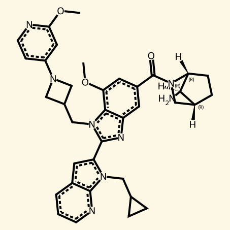 COc1cc(N2CC(Cn3c(-c4cc5cccnc5n4CC4CC4)nc4cc(C(=O)N5C[C@H]6CC[C@@H]5[C@@H]6N)cc(OC)c43)C2)ccn1